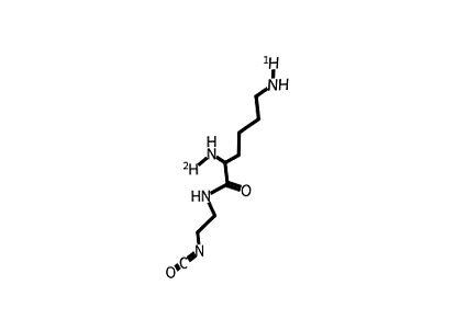 [1H]NCCCCC(N[2H])C(=O)NCCN=C=O